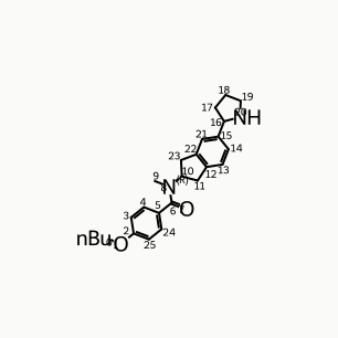 CCCCOc1ccc(C(=O)N(C)[C@@H]2Cc3ccc(C4CCCN4)cc3C2)cc1